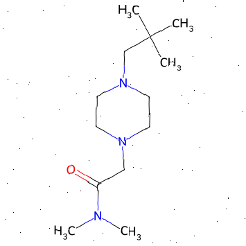 CN(C)C(=O)CN1CCN(CC(C)(C)C)CC1